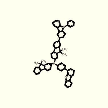 CC1(C)c2ccccc2-c2ccc(N(c3ccc(-c4cccc5c4oc4ccccc45)cc3)c3ccc4c(c3)C(C)(C)c3cc(-c5ccc6c(c5)c5ccccc5n6-c5ccccc5)ccc3-4)cc21